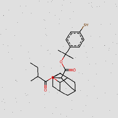 CCC(C)C(=O)OC1C2CC3CC1CC(C2)C3C(=O)OC(C)(C)c1ccc(S)cc1